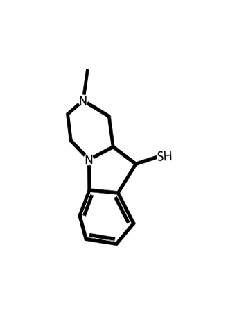 CN1CCN2c3ccccc3C(S)C2C1